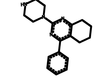 c1ccc(-c2nc(N3CCNCC3)nc3c2CCCC3)cc1